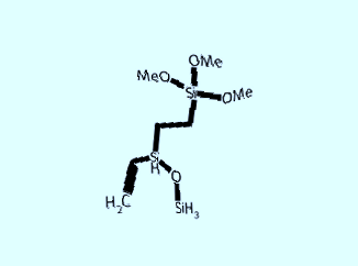 C=C[SiH](CC[Si](OC)(OC)OC)O[SiH3]